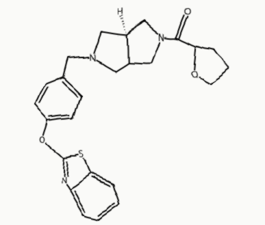 O=C(C1CCCO1)N1CC2CN(Cc3ccc(Oc4nc5ccccc5s4)cc3)C[C@H]2C1